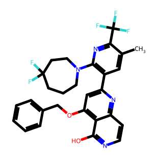 Cc1cc(-c2cc(OCc3ccccc3)c3c(O)nccc3n2)c(N2CCCC(F)(F)CC2)nc1C(F)(F)F